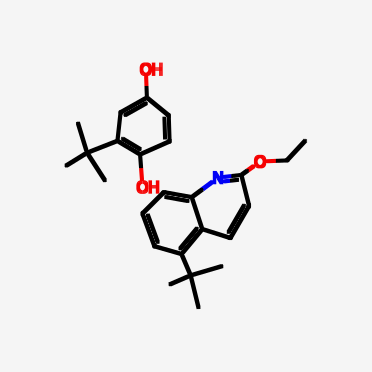 CC(C)(C)c1cc(O)ccc1O.CCOc1ccc2c(C(C)(C)C)cccc2n1